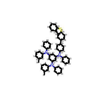 Cc1cccc(N(c2ccccc2)c2cc(N(c3ccccc3)c3ccc(-c4ccc5sc6ccccc6c5c4)cc3)cc(N(c3ccccc3)c3cccc(C)c3)c2)c1